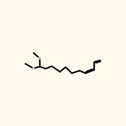 C=C/C=C\CCCCCCC(OC)OC